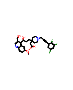 COc1ccc2ncc(CO)c(C(O)CCC3(CC(=O)O)CCN(CC#Cc4cc(F)cc(F)c4F)CC3)c2c1